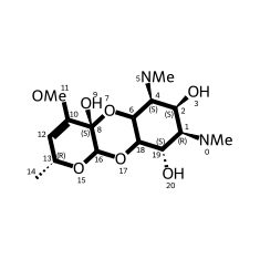 CN[C@@H]1[C@H](O)[C@H](NC)C2O[C@@]3(O)C(OC)=C[C@@H](C)OC3OC2[C@H]1O